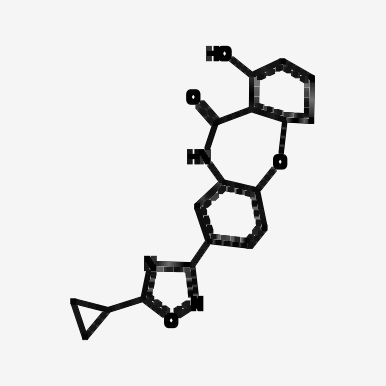 O=C1Nc2cc(-c3noc(C4CC4)n3)ccc2Oc2cccc(O)c21